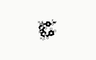 C[C@@H]1Cc2nn3c(c2CN1C(=O)c1ccc(Cl)c(Cl)c1)C(=O)N([Si@@H](C)c1ccc(OC(F)F)cc1)CC3